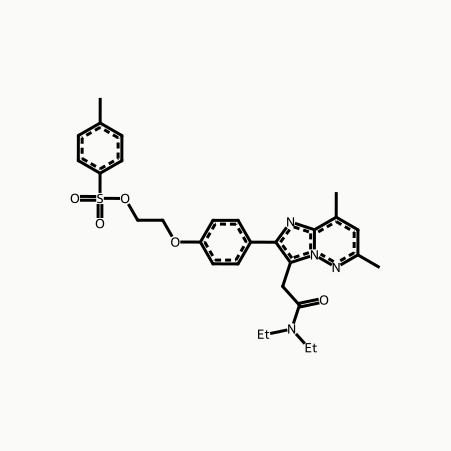 CCN(CC)C(=O)Cc1c(-c2ccc(OCCOS(=O)(=O)c3ccc(C)cc3)cc2)nc2c(C)cc(C)nn12